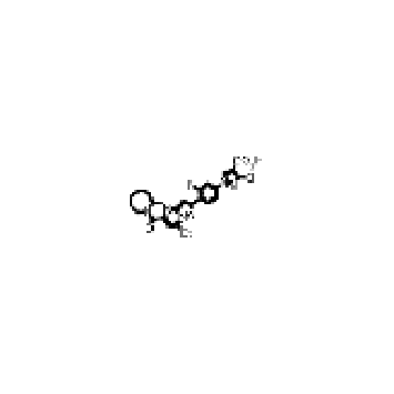 CCc1cc(C(=O)N2CCCCC[C@H]2C)nc2cc(-c3ccc(-n4cc(C(=O)O)c(Cl)n4)cc3F)nn12